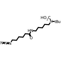 CC(C)(C)N(CCCCCNC(=O)CCCCCN=[N+]=[N-])C(=O)O